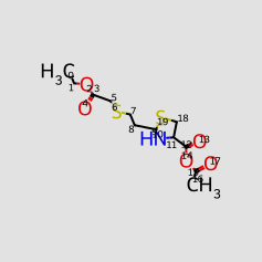 CCOC(=O)CSCCC1NC(C(=O)OC(C)=O)CS1